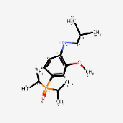 COc1cc(P(=O)(C(C)C)C(C)C)ccc1NCC(C)C